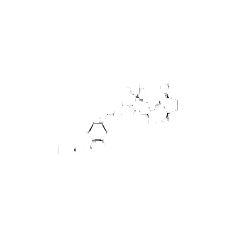 COc1ccc(COCC(OC(=O)ON2C(=O)CCC2=O)C(F)(F)F)cc1